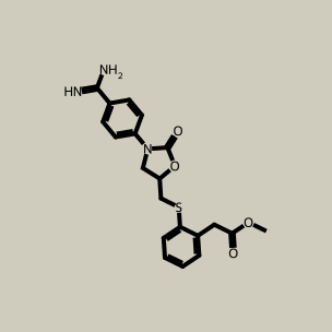 COC(=O)Cc1ccccc1SCC1CN(c2ccc(C(=N)N)cc2)C(=O)O1